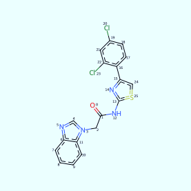 O=C(Cn1cnc2ccccc21)Nc1nc(-c2ccc(Cl)cc2Cl)cs1